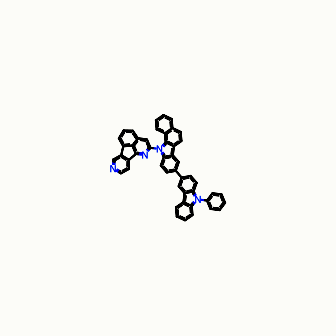 c1ccc(-n2c3ccccc3c3cc(-c4ccc5c(c4)c4ccc6ccccc6c4n5-c4cc5cccc6c5c(n4)-c4ccncc4-6)ccc32)cc1